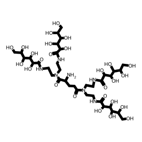 NC(CCC(=O)N(CCNC(=O)C(O)C(O)C(O)C(O)CO)CCNC(=O)C(O)C(O)C(O)C(O)CO)C(=O)N(CCNC(=O)C(O)C(O)C(O)C(O)CO)CCNC(=O)C(O)C(O)C(O)C(O)CO